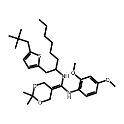 CCCCCCC(Cc1ccc(CC(C)(C)C)s1)NC(Nc1ccc(OC)cc1OC)=C1COC(C)(C)OC1